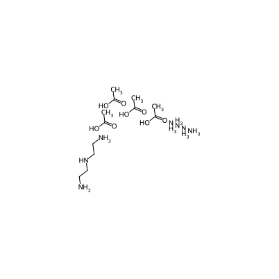 CC(=O)O.CC(=O)O.CC(=O)O.CC(=O)O.N.N.N.N.NCCNCCN